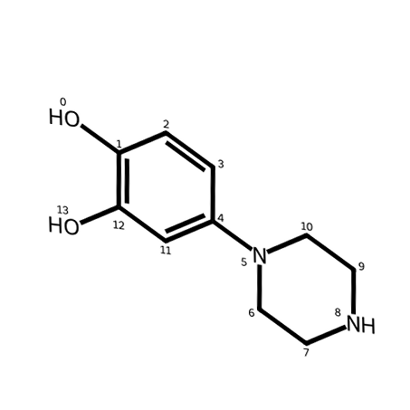 Oc1ccc(N2CCNCC2)cc1O